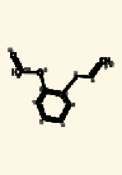 C=CCc1ccccc1O[PH2]=O